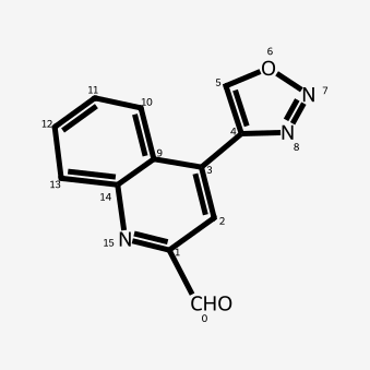 O=Cc1cc(-c2conn2)c2ccccc2n1